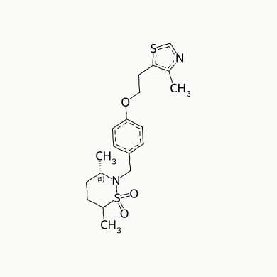 Cc1ncsc1CCOc1ccc(CN2[C@@H](C)CCC(C)S2(=O)=O)cc1